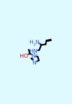 C=CCC(N)CN[N+]1(C(C)O)C=NCC1